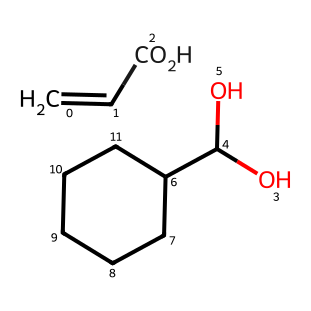 C=CC(=O)O.OC(O)C1CCCCC1